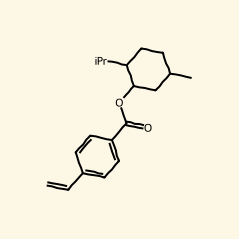 C=Cc1ccc(C(=O)OC2CC(C)CCC2C(C)C)cc1